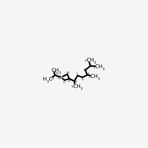 CC(C)CC(C)CCC(C)C1CN(C(C)C)C1